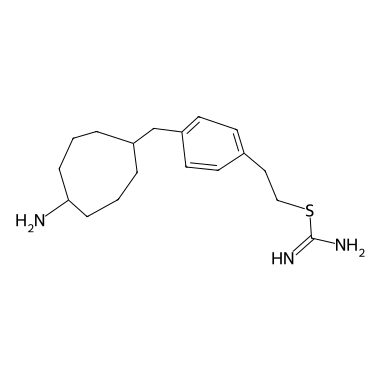 N=C(N)SCCc1ccc(CC2CCCC(N)CCC2)cc1